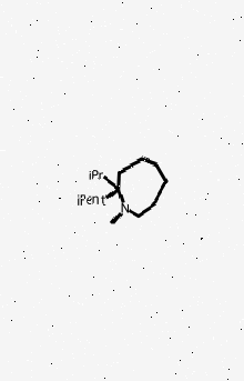 CCCC(C)C1(C(C)C)CCCCCCN1C